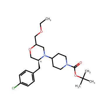 CCOCC1CN(C2CCN(C(=O)OC(C)(C)C)CC2)[C@@H](Cc2ccc(Cl)cc2)CO1